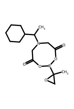 CC(C1CCCCC1)N1CC(=O)OB(C2(C)CO2)OC(=O)C1